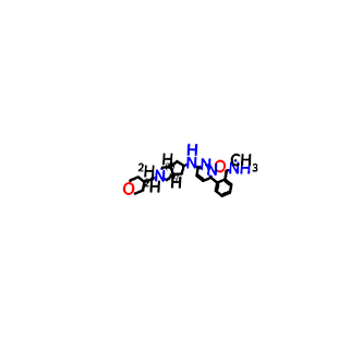 [2H]C([2H])(C1CCOCC1)N1C[C@H]2CC(Nc3ccc(-c4ccccc4C(=O)NC)nn3)C[C@H]2C1